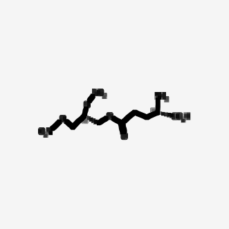 N[C@@H](CCC(=O)OC[C@H](CO[N+](=O)[O-])O[N+](=O)[O-])C(=O)O